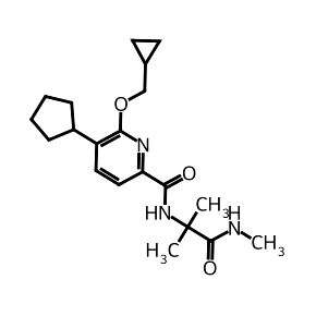 CNC(=O)C(C)(C)NC(=O)c1ccc(C2CCCC2)c(OCC2CC2)n1